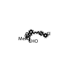 CNC(=O)C(CCC=O)N1Cc2c(CCCCN3CCN(c4cccc(Cl)c4)CC3)cccc2C1=O